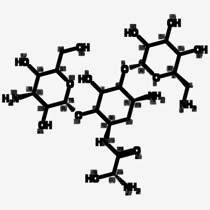 NC[C@H]1O[C@H](OC2C(O)C(O[C@H]3OC(CO)C(O)[C@H](N)C3O)[C@H](NC(=O)[C@H](N)O)C[C@@H]2N)C(O)C(O)C1O